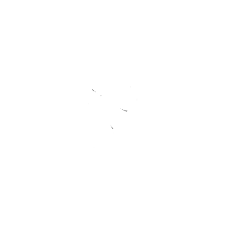 C=C1C[C@]23C[C@H]1CC[C@H]2c1cccc(C)c1[C@@H]3C(=O)O